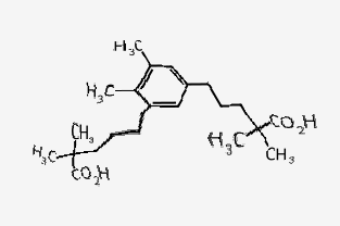 Cc1cc(CCCC(C)(C)C(=O)O)cc(CCCC(C)(C)C(=O)O)c1C